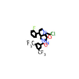 Fc1ccccc1-c1ccncc1CN1C(c2ccc(Cl)o2)=NOC1c1cc(C(F)(F)F)cc(C(F)(F)F)c1